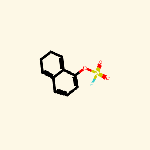 O=S(=O)(F)Oc1cccc2c1=CCCC=2